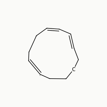 [C]1=C\CC/C=C\C=C\CCCC/1